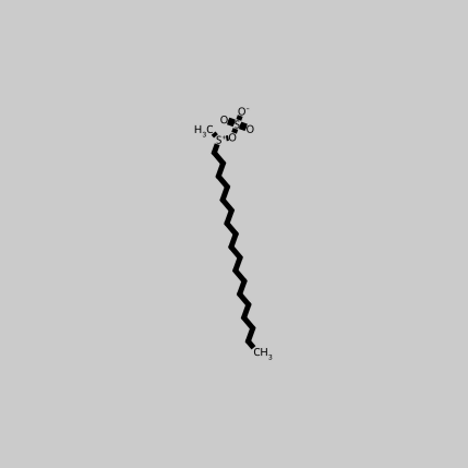 CCCCCCCCCCCCCCCCCC[S+](C)OS(=O)(=O)[O-]